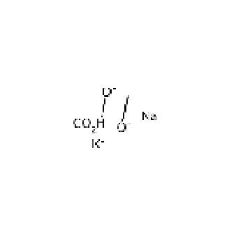 C[O-].O=C([O-])O.[K+].[Na+]